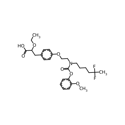 CCOC(Cc1ccc(OCCN(CCCCC(C)(F)F)C(=O)Oc2ccccc2OC)cc1)C(=O)O